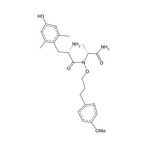 COc1ccc(CCCON(C(=O)[C@@H](N)Cc2c(C)cc(O)cc2C)[C@H](C)C(N)=O)cc1